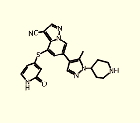 Cc1c(-c2cc(Sc3cc[nH]c(=O)c3)c3c(C#N)cnn3c2)cnn1C1CCNCC1